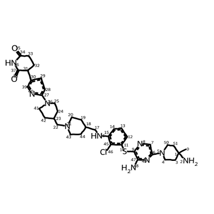 CC1(N)CCN(c2cnc(Sc3cccc(NCC4CCN(CC5CCN(c6ccc(C7CCC(=O)NC7=O)cn6)CC5)CC4)c3Cl)c(N)n2)CC1